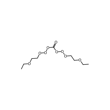 CCOCCOOOC(=O)OOOCCOCC